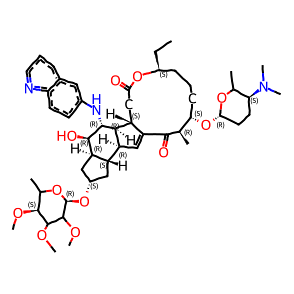 CC[C@H]1CCC[C@H](O[C@H]2CC[C@H](N(C)C)C(C)O2)[C@@H](C)C(=O)C2=C[C@H]3[C@@H]4C[C@H](O[C@@H]5OC(C)[C@H](OC)C(OC)C5OC)C[C@H]4[C@@H](O)[C@H](Nc4ccc5ncccc5c4)[C@H]3[C@@H]2CC(=O)O1